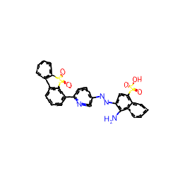 Nc1c(N=Nc2ccc(-c3cccc4c3S(=O)(=O)c3ccccc3-4)nc2)cc(S(=O)(=O)O)c2ccccc12